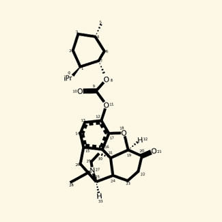 CC(C)[C@H]1CC[C@H](C)C[C@@H]1OC(=O)Oc1ccc2c3c1O[C@H]1C(=O)CCC4[C@@H](C2)N(C)CC[C@@]341